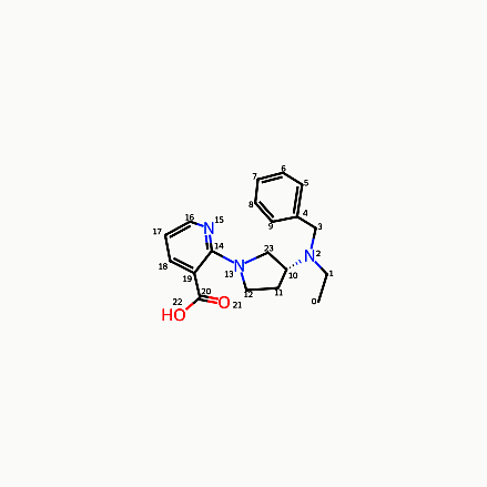 CCN(Cc1ccccc1)[C@@H]1CCN(c2ncccc2C(=O)O)C1